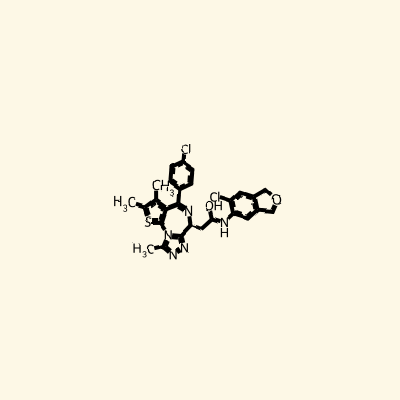 Cc1sc2c(c1C)C(c1ccc(Cl)cc1)=N[C@@H](CC(O)Nc1cc3c(cc1Cl)COC3)c1nnc(C)n1-2